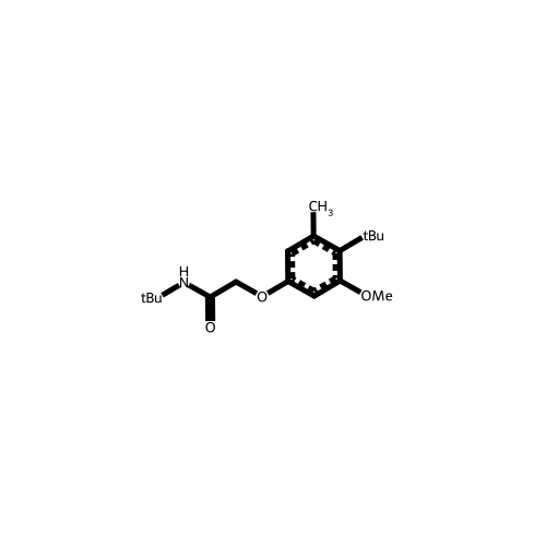 COc1cc(OCC(=O)NC(C)(C)C)cc(C)c1C(C)(C)C